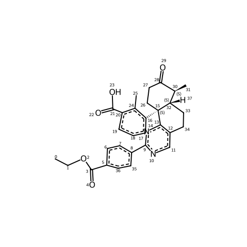 CCOC(=O)c1ccc(-c2ncc3c(n2)[C@@]2(c4cccc(C(=O)O)c4C)CCC(=O)[C@@H](C)[C@@H]2CC3)cc1